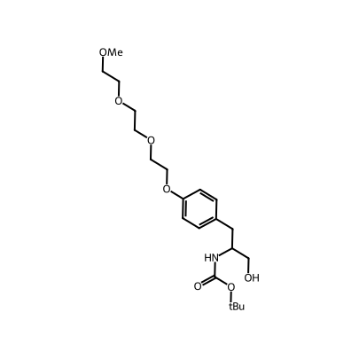 COCCOCCOCCOc1ccc(CC(CO)NC(=O)OC(C)(C)C)cc1